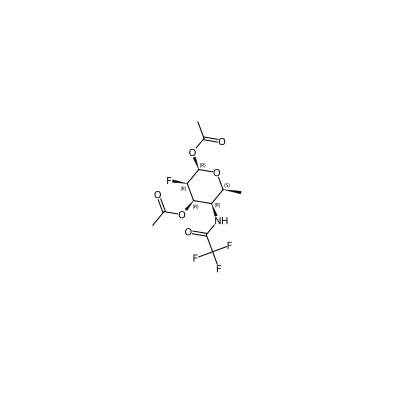 CC(=O)O[C@H]1O[C@@H](C)[C@@H](NC(=O)C(F)(F)F)[C@@H](OC(C)=O)[C@H]1F